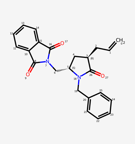 C=CC[C@@H]1C[C@@H](CN2C(=O)c3ccccc3C2=O)N(Cc2ccccc2)C1=O